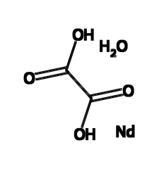 O.O=C(O)C(=O)O.[Nd]